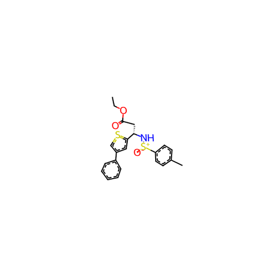 CCOC(=O)C[C@H](N[S@+]([O-])c1ccc(C)cc1)c1cc(-c2ccccc2)cs1